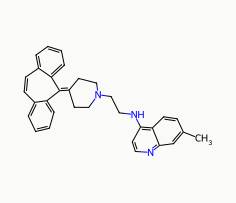 Cc1ccc2c(NCCN3CCC(=C4c5ccccc5C=Cc5ccccc54)CC3)ccnc2c1